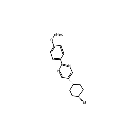 CCCCCCOc1ccc(-c2ncc([C@H]3CC[C@H](CC)CC3)cn2)cc1